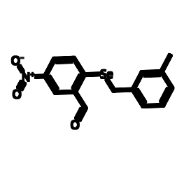 Cc1cccc(C[Se]c2ccc([N+](=O)[O-])cc2C=O)c1